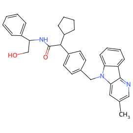 Cc1cnc2c3ccccc3n(Cc3ccc(C(C(=O)NC(CO)c4ccccc4)C4CCCC4)cc3)c2c1